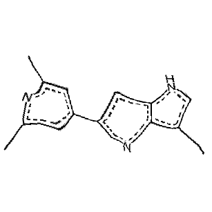 Cc1cc(-c2cnc3c(C)c[nH]c3c2)cc(C)n1